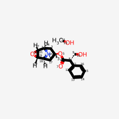 CN1[C@@H]2C[C@@H](OC(=O)[C@H](CO)c3ccccc3)C[C@H]1[C@@H]1O[C@@H]12.CO